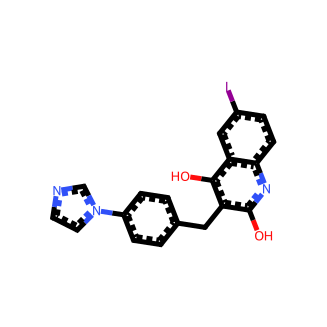 Oc1nc2ccc(I)cc2c(O)c1Cc1ccc(-n2ccnc2)cc1